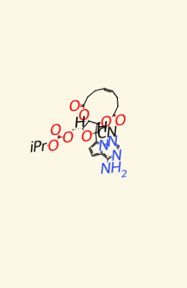 CC(C)OC(=O)OC[C@H]1O[C@@](C#N)(c2ccc3c(N)ncnn23)[C@@H]2OC(=O)CCC=CCCC(=O)O[C@@H]21